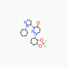 O=c1ccn(-c2cccc3c2OC(F)(F)O3)nc1-c1ccnn1-c1ccccc1